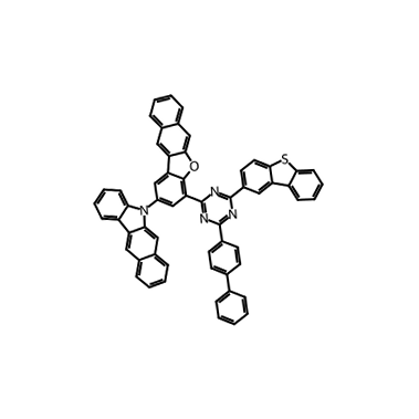 c1ccc(-c2ccc(-c3nc(-c4ccc5sc6ccccc6c5c4)nc(-c4cc(-n5c6ccccc6c6cc7ccccc7cc65)cc5c4oc4cc6ccccc6cc45)n3)cc2)cc1